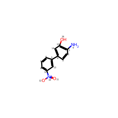 Nc1ccc(-c2cccc([N+](=O)[O-])c2)cc1O